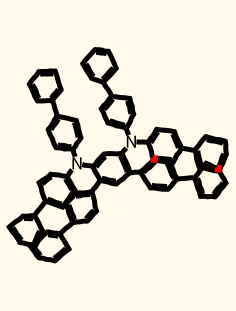 c1ccc(-c2ccc(-c3cc(-c4ccc(-c5ccccc5)cc4)c(N(c4ccc(-c5ccccc5)cc4)c4ccc(-c5ccccc5)cc4)cc3N(c3ccc(-c4ccccc4)cc3)c3ccc(-c4ccccc4)cc3)cc2)cc1